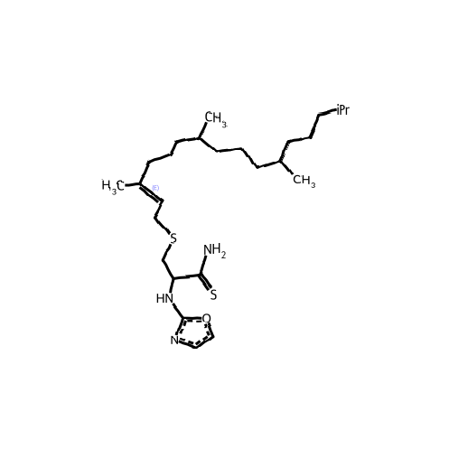 C/C(=C\CSCC(Nc1ncco1)C(N)=S)CCCC(C)CCCC(C)CCCC(C)C